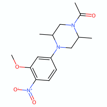 COc1cc(N2CC(C)N(C(C)=O)CC2C)ccc1[N+](=O)[O-]